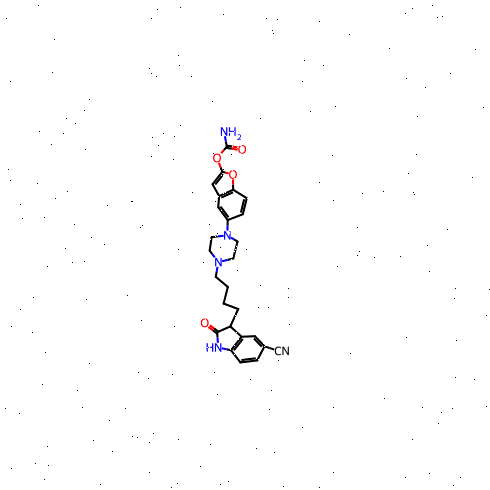 N#Cc1ccc2c(c1)C(CCCCN1CCN(c3ccc4oc(OC(N)=O)cc4c3)CC1)C(=O)N2